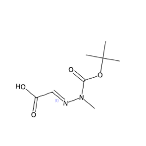 CN(/N=C/C(=O)O)C(=O)OC(C)(C)C